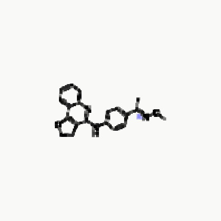 CO/N=C(\C)c1ccc(Nc2nc3ccccc3c3occc23)cc1